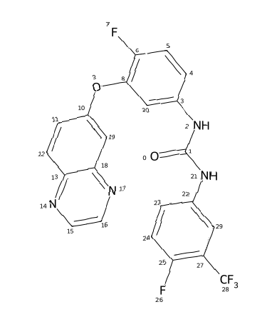 O=C(Nc1ccc(F)c(Oc2ccc3nccnc3c2)c1)Nc1ccc(F)c(C(F)(F)F)c1